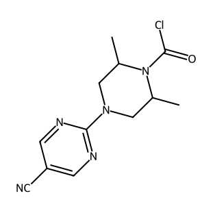 CC1CN(c2ncc(C#N)cn2)CC(C)N1C(=O)Cl